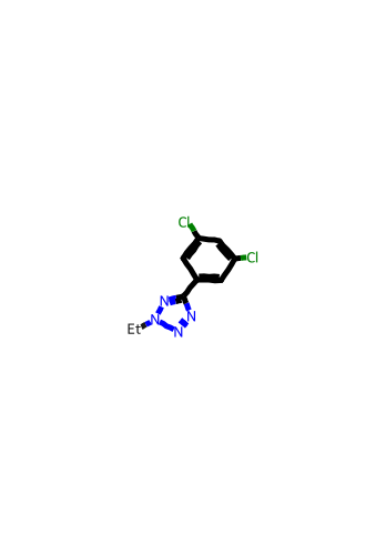 CCn1nnc(-c2cc(Cl)cc(Cl)c2)n1